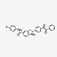 O=C(Nc1ccc(C2Cc3cc(C(=O)Nc4ccc(F)cc4)ccc3N2)cc1)c1ccccc1